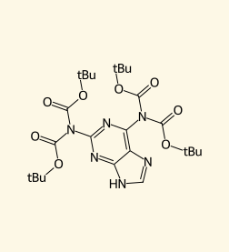 CC(C)(C)OC(=O)N(C(=O)OC(C)(C)C)c1nc(N(C(=O)OC(C)(C)C)C(=O)OC(C)(C)C)c2nc[nH]c2n1